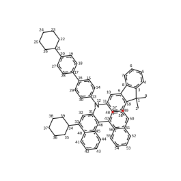 CC1(C)c2ccccc2-c2cc(N(c3ccc(-c4ccc(C5CCCCC5)cc4)cc3)c3cc(C4CCCCC4)c4ccccc4c3-c3cccc4ccccc34)ccc21